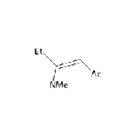 CC/C(=C/C(C)=O)NC